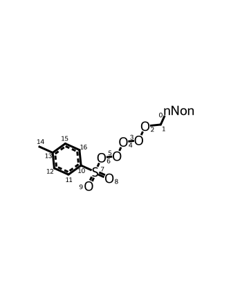 CCCCCCCCCCOOOOOS(=O)(=O)c1ccc(C)cc1